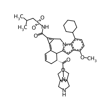 COc1ccc(C2CCCCC2)c2c1cc1n2CC2=C(C(=O)NS(=O)(=O)CC(C)C)C2=C2C=CC[C@@H](C(=O)N3CC45CNCC4(COC5)C3)C21